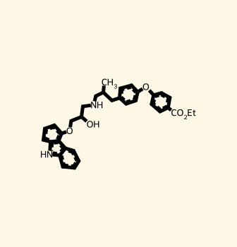 CCOC(=O)c1ccc(Oc2ccc(CC(C)CNCC(O)COc3cccc4[nH]c5ccccc5c34)cc2)cc1